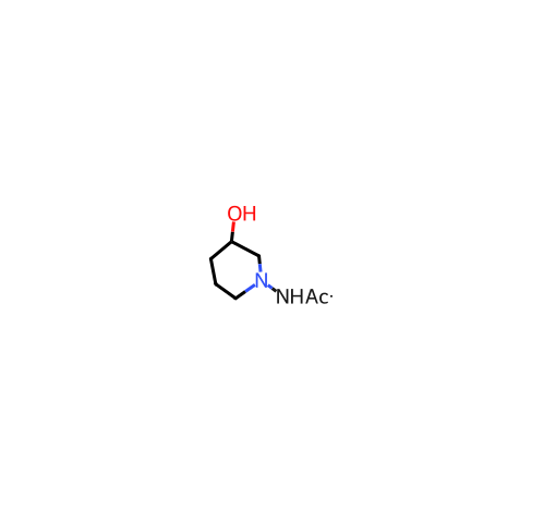 CC(=O)[N]N1CCCC(O)C1